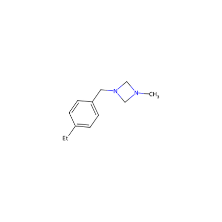 CCc1ccc(CN2CN(C)C2)cc1